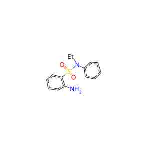 CCN(c1ccccc1)S(=O)(=O)c1ccccc1N